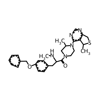 CNC(Cc1ccc(OCc2ccccc2)cc1)C(=O)N1CCN(c2ncnc3c2C(C)SC3)C(C)C1